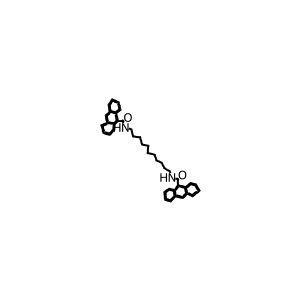 O=C(NCCCCCCCCCCCNC(=O)c1c2ccccc2cc2ccccc12)c1c2ccccc2cc2ccccc12